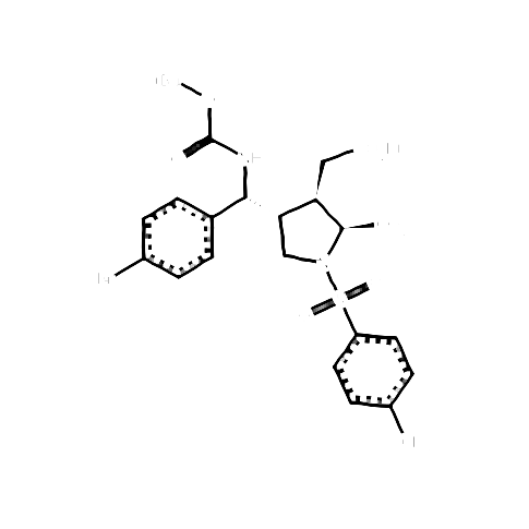 CCOC(=O)C[C@@H]1[C@@H](C(NC(=O)OC(C)(C)C)c2ccc(Br)cc2)CN(S(=O)(=O)c2ccc(C)cc2)[C@@H]1C(=O)OCC